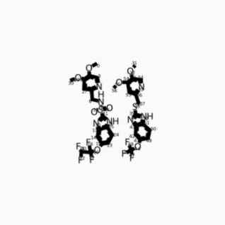 COc1cnc(CNS(=O)(=O)c2nc3cc(OC(F)(F)C(F)F)ccc3[nH]2)cc1OC.COc1cnc(CSc2nc3cc(OC(F)(F)F)ccc3[nH]2)cc1OC